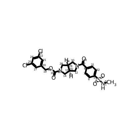 CNS(=O)(=O)c1ccc(C(=O)N2C[C@H]3CN(C(=O)OCc4cc(Cl)cc(Cl)c4)C[C@@H]3C2)cc1